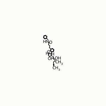 CC#CC[C@H](C)[C@H](O)/C=C/[C@@H]1[C@H]2c3cccc(CCCC(=O)NCc4ccccc4)c3O[C@H]2C[C@H]1O